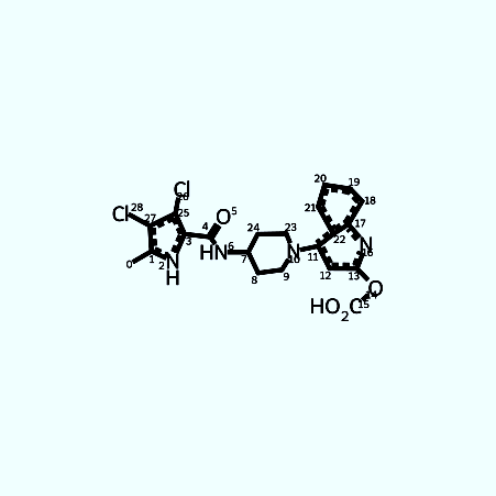 Cc1[nH]c(C(=O)NC2CCN(c3cc(OC(=O)O)nc4ccccc34)CC2)c(Cl)c1Cl